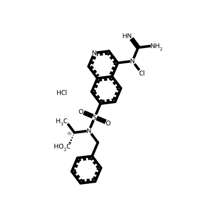 C[C@@H](C(=O)O)N(Cc1ccccc1)S(=O)(=O)c1ccc2c(N(Cl)C(=N)N)cncc2c1.Cl